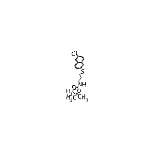 CC(C)(C)OC(=O)NCCCSc1ccc2cc(Cl)ccc2c1